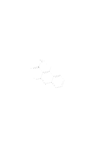 NC(=O)c1c(F)nc2ccccc2c1O